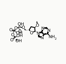 CO[C@@H]1C[C@@H](COP(=O)(O)OP(=O)(O)OP(=O)(O)O)O[C@H]1n1cnc2c(N)ncnc21